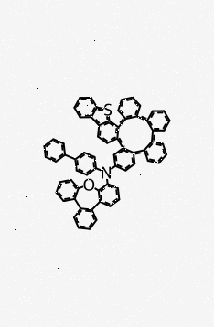 c1ccc(-c2ccc(N(c3ccc4c5ccccc5c5ccccc5c5ccccc5c5c(ccc6c7ccccc7sc65)c4c3)c3cccc4c3Oc3ccccc3-c3ccccc3-4)cc2)cc1